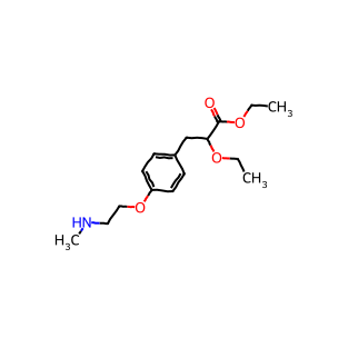 CCOC(=O)C(Cc1ccc(OCCNC)cc1)OCC